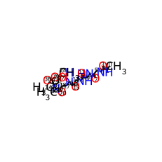 CCC(=O)NCC(=O)NCC(=O)NCC(=O)NCCC(=O)N(C)C(C)(CCOC)C(=O)O